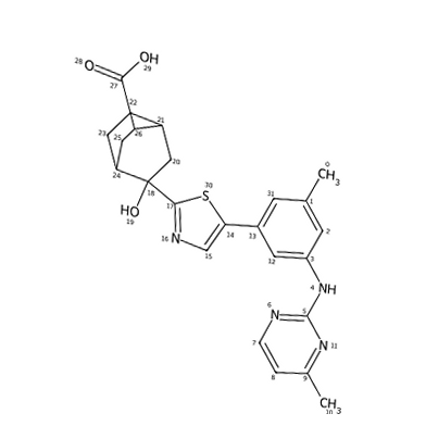 Cc1cc(Nc2nccc(C)n2)cc(-c2cnc(C3(O)CC4CCC3CC4C(=O)O)s2)c1